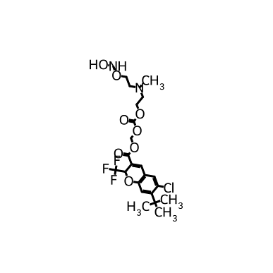 CN(CCONO)CCOC(=O)OCOC(=O)C1=Cc2cc(Cl)c(C(C)(C)C)cc2OC1C(F)(F)F